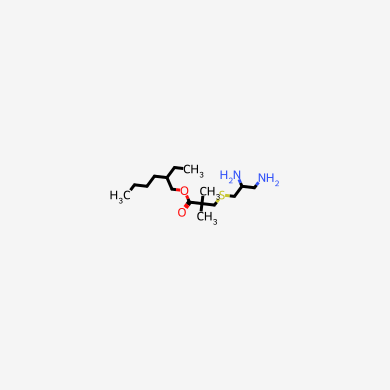 CCCCC(CC)COC(=O)C(C)(C)CSCC(N)CN